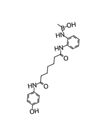 CB(O)Nc1ccccc1NC(=O)CCCCCC(=O)Nc1ccc(O)cc1